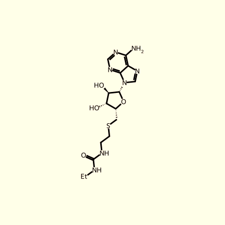 CCNC(=O)NCCSC[C@H]1O[C@@H](n2cnc3c(N)ncnc32)[C@H](O)[C@H]1O